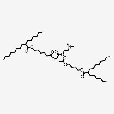 CCCCCCCCC(CCCCCC)C(=O)OCCCCCC(=O)O[C@@H](CC(=O)OCCCCOC(=O)C(CCCCCC)CCCCCCCC)C(=O)OCCN(C)C